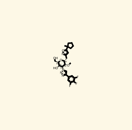 CO[C@@H]1[C@@H](n2cc(-c3cc(F)c(F)c(F)c3)nn2)[C@@H](O)[C@@H](CO)O[C@@H]1Cc1cc(C2(C)CCCC2)on1